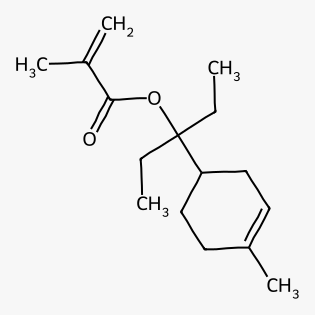 C=C(C)C(=O)OC(CC)(CC)C1CC=C(C)CC1